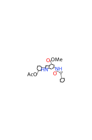 COC(=O)c1cc(NC(=O)C2CC2c2ccccc2)cc2[nH]c(-c3cccc(COC(C)=O)c3)cc12